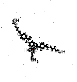 CCCCCCCC1(OC(=O)c2ccc(OCCCCCCO)cc2)C=CC(OC(=O)c2ccc(OCCCCCCO)cc2)=CC1C(=O)O